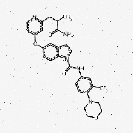 CC(Cc1cc(Oc2ccc3c(ccn3C(=O)Nc3ccc(N4CCOCC4)c(C(F)(F)F)c3)c2)ncn1)C(N)=O